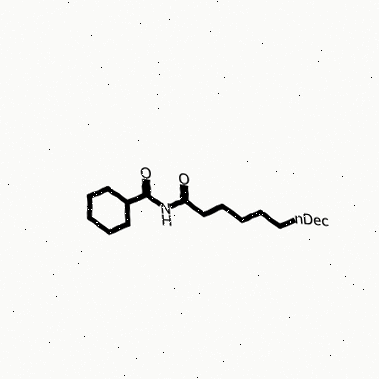 CCCCCCCCCCCCCCCC(=O)NC(=O)C1CCCCC1